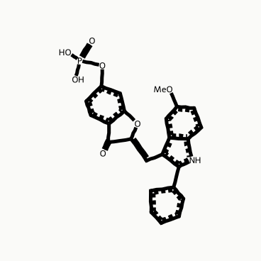 COc1ccc2[nH]c(-c3ccccc3)c(/C=C3\Oc4cc(OP(=O)(O)O)ccc4C3=O)c2c1